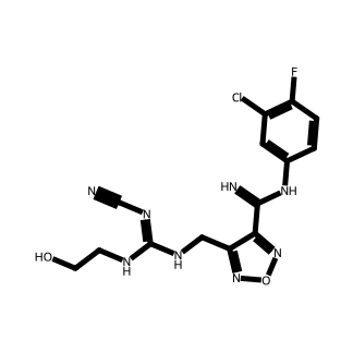 N#CN=C(NCCO)NCc1nonc1C(=N)Nc1ccc(F)c(Cl)c1